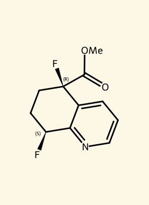 COC(=O)[C@@]1(F)CC[C@H](F)c2ncccc21